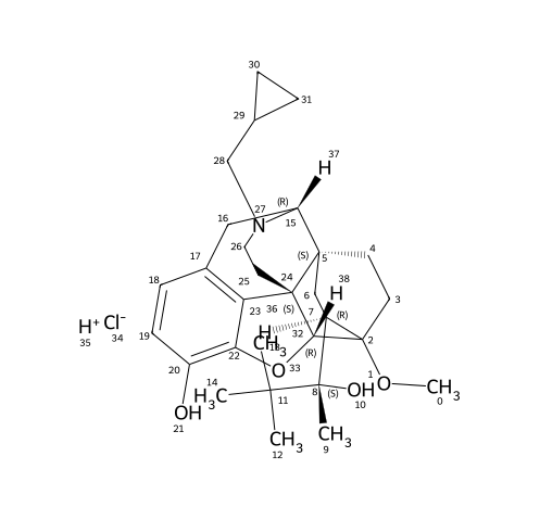 COC12CC[C@@]3(C[C@@H]1[C@](C)(O)C(C)(C)C)[C@H]1Cc4ccc(O)c5c4[C@@]3(CCN1CC1CC1)[C@H]2O5.[Cl-].[H+]